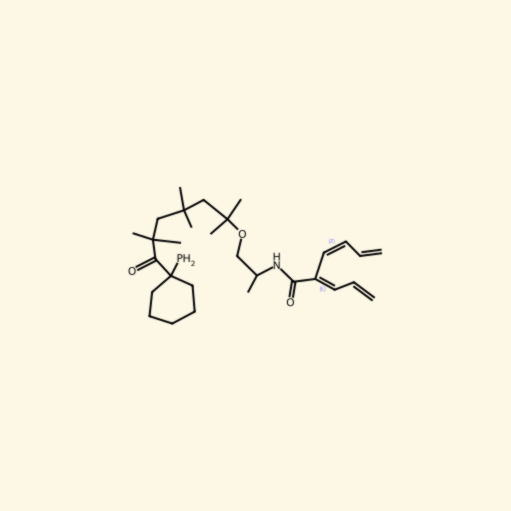 C=C/C=C\C(=C/C=C)C(=O)NC(C)COC(C)(C)CC(C)(C)CC(C)(C)C(=O)C1(P)CCCCC1